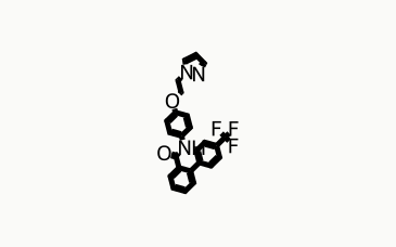 O=C(Nc1ccc(OCCn2cccn2)cc1)c1ccccc1-c1ccc(C(F)(F)F)cc1